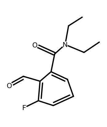 CCN(CC)C(=O)c1cccc(F)c1C=O